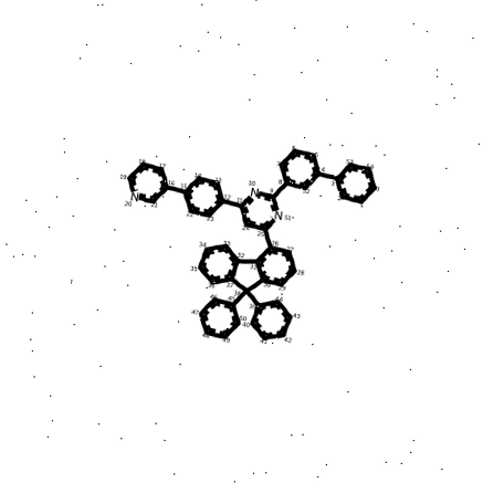 c1ccc(-c2cccc(-c3nc(-c4ccc(-c5cccnc5)cc4)cc(-c4cccc5c4-c4ccccc4C5(c4ccccc4)c4ccccc4)n3)c2)cc1